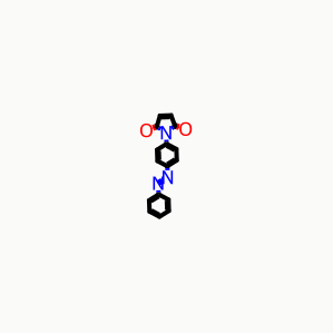 O=C1C=CC(=O)N1c1ccc(/N=N/c2ccccc2)cc1